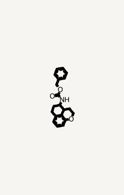 O=C(NC1CCc2cccc3c2C1CCO3)OCc1ccccc1